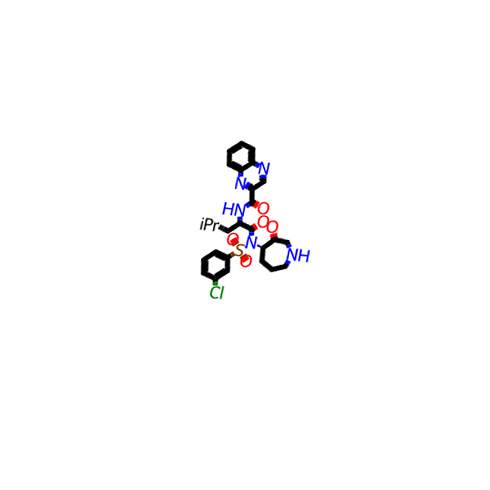 CC(C)CC(NC(=O)c1cnc2ccccc2n1)C(=O)N([C@H]1CCCNCC1=O)S(=O)(=O)c1cccc(Cl)c1